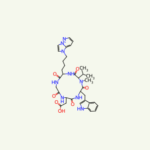 CC(C)C1C(=O)NC(CCCCn2cc[n+]3ncccc23)C(=O)NCC(=O)NC(CC(=O)O)C(=O)NC(Cc2c[nH]c3ccccc23)C(=O)N1C